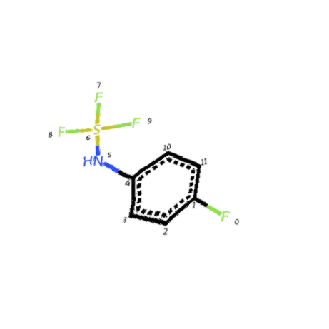 Fc1ccc(NS(F)(F)F)cc1